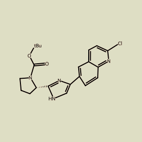 CC(C)(C)OC(=O)N1CCC[C@H]1c1nc(-c2ccc3nc(Cl)ccc3c2)c[nH]1